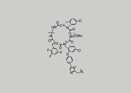 COC[C@@H]1NC(=O)[C@H](C)N(Cc2ccc(Cl)cc2Oc2ccc(-c3cnc(CN(C)C)n3C)cc2)C(=O)C[C@@H](Cc2cc(F)cc(F)c2F)C(=O)N(C)[C@@H](C)CNC(=O)C[C@H](Cc2ccc(Cl)cc2)N(C)C1=O